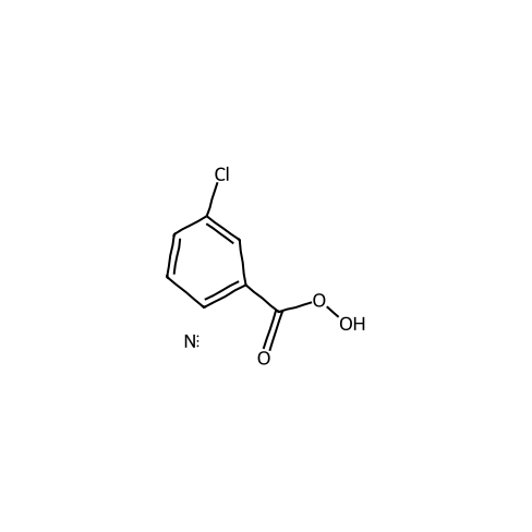 O=C(OO)c1cccc(Cl)c1.[N]